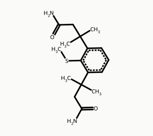 CSc1c(C(C)(C)CC(N)=O)cccc1C(C)(C)CC(N)=O